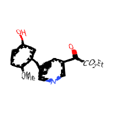 CCOC(=O)C(=O)c1cncc(-c2cc(O)ccc2OC)c1